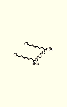 CCCCC(CCC=CCCCl)OCOCOC(CCC=CCCCl)CCCC